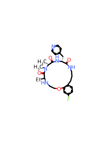 CCC1NCCOc2cc(F)ccc2CCCNC(=O)[C@@H](Cc2ccncc2)NC(=O)[C@@H](C)N(C)C1=O